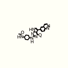 COc1nc(NC2CCC(NC(C)=O)CC2)nc2[nH]cc(-c3ccc4nnccc4c3)c12